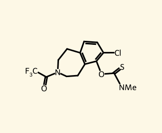 CNC(=S)Oc1c(Cl)ccc2c1CCN(C(=O)C(F)(F)F)CC2